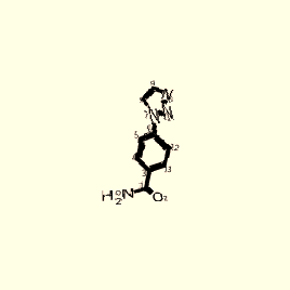 NC(=O)c1ccc(-n2ccnn2)cc1